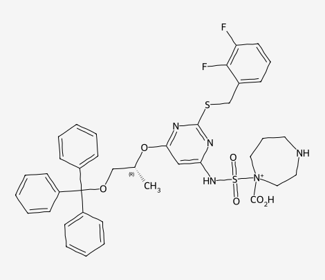 C[C@H](COC(c1ccccc1)(c1ccccc1)c1ccccc1)Oc1cc(NS(=O)(=O)[N+]2(C(=O)O)CCCNCC2)nc(SCc2cccc(F)c2F)n1